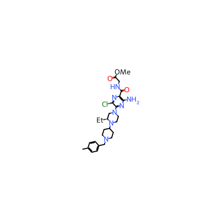 CC[C@H]1CN(c2nc(N)c(C(=O)NCC(=O)OC)nc2Cl)CCN1C1CCN(Cc2ccc(C)cc2)CC1